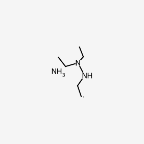 N.[CH2]CNN(CC)CC